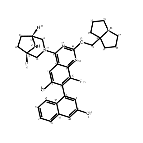 Oc1cc(-c2c(Cl)cc3c(N4C[C@H]5CC[C@@H](C4)N5)nc(OCC45CCCN4CCC5)nc3c2F)c2ccccc2c1